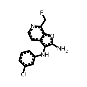 Nc1oc2c(CF)nccc2c1Nc1cccc(Cl)c1